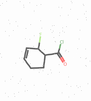 O=C(Cl)C1CCC=CC1F